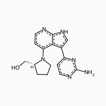 Nc1nccc(-c2c[nH]c3nccc(N4CCC[C@@H]4CO)c23)n1